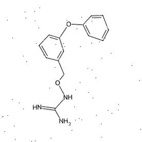 N=C(N)NOCc1cccc(Oc2ccccc2)c1